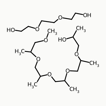 COCC(C)OCC(C)OCC(C)OCC(C)OCC(C)O.OCCOCCOCCO